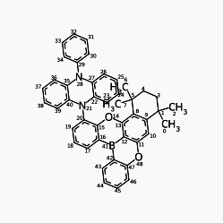 CC1(C)CCC(C)(C)c2c1cc1c3c2Oc2c(cccc2N2c4ccccc4N(c4ccccc4)c4ccccc42)B3c2ccccc2O1